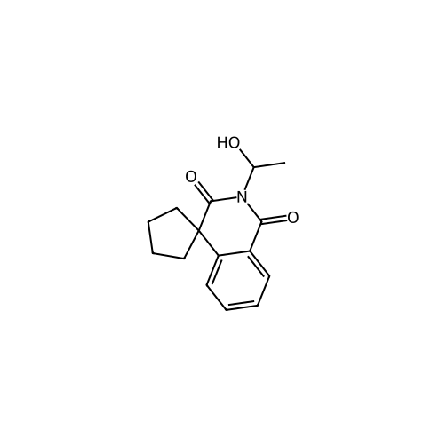 CC(O)N1C(=O)c2ccccc2C2(CCCC2)C1=O